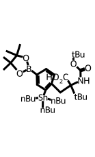 CCC[CH2][Sn]([CH2]CCC)([CH2]CCC)[c]1cc(B2OC(C)(C)C(C)(C)O2)ccc1CC(NC(=O)OC(C)(C)C)(C(=O)O)C(C)(C)C